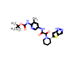 Cc1cc(NC(=O)C(=O)N2CCCC[C@H]2c2cc3[nH]ncc3s2)cnc1NC(=O)OC(C)(C)C